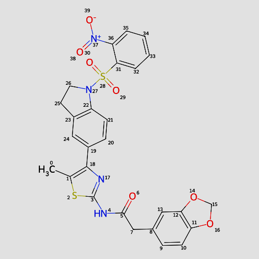 Cc1sc(NC(=O)Cc2ccc3c(c2)OCO3)nc1-c1ccc2c(c1)CCN2S(=O)(=O)c1ccccc1[N+](=O)[O-]